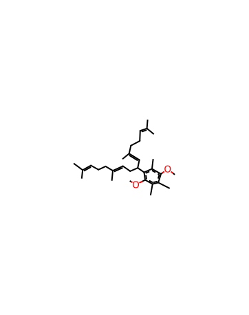 COc1c(C)c(C)c(OC)c(C(/C=C(\C)CCC=C(C)C)C/C=C(\C)CCC=C(C)C)c1C